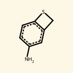 Nc1ccc2c(c1)CS2